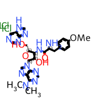 COc1ccc(C[C@H](N)C(=O)N[C@H]2[C@@H](O)[C@H](n3cnc4c(N(C)C)ncnc43)O[C@@H]2CO)cc1.Cl.Cl.c1ncc2[nH]cnc2n1